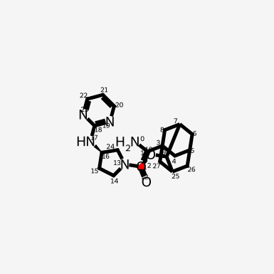 NC(=O)C12CC3CC(C1)C(OC(=O)N1CC[C@@H](Nc4ncccn4)C1)C(C3)C2